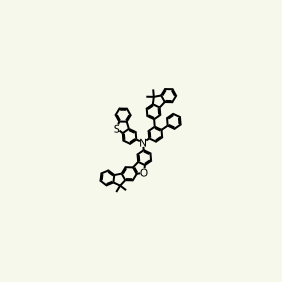 CC1(C)c2ccccc2-c2cc(-c3cc(N(c4ccc5oc6cc7c(cc6c5c4)-c4ccccc4C7(C)C)c4ccc5sc6ccccc6c5c4)ccc3-c3ccccc3)ccc21